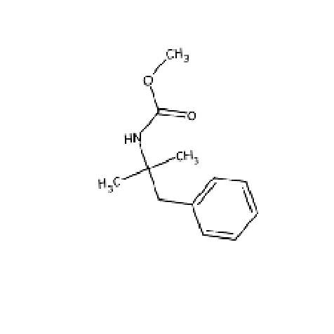 COC(=O)NC(C)(C)Cc1ccccc1